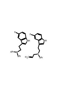 C=CCN(CCC)CCc1c[nH]c2ccc(F)cc12.CCCN(CCC)CCc1c[nH]c2ccc(F)cc12